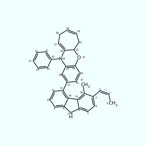 C/C=C\c1ccc2[nH]c3cccc(-c4ccc5c(c4)N(c4ccccc4)C4=CCC=CCC4O5)c3c2c1C